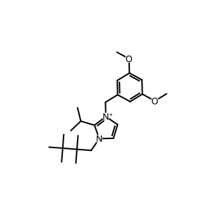 COc1cc(C[n+]2ccn(CC(C)(C)C(C)(C)C)c2C(C)C)cc(OC)c1